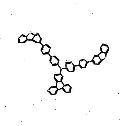 c1ccc2c(c1)sc1ccc(-c3ccc(-c4ccc(N(c5ccc(-c6ccc(-c7ccc8sc9ccccc9c8c7)cc6)cc5)c5ccc6c7ccccc7c7ccccc7c6c5)cc4)cc3)cc12